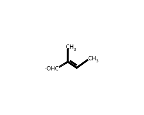 C/C=C(\C)[C]=O